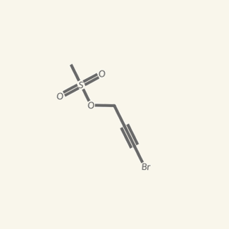 CS(=O)(=O)OCC#CBr